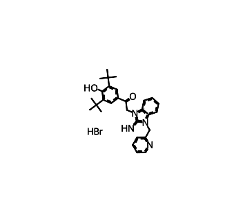 Br.CC(C)(C)c1cc(C(=O)Cn2c(=N)n(Cc3ccccn3)c3ccccc32)cc(C(C)(C)C)c1O